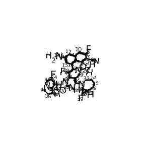 [2H]C([2H])Oc1c(C#N)c(F)cc2cc(N)cc(-c3ncc4c(N5CCCC[C@H]6[C@H](F)[C@H]65)nc(OC([2H])([2H])[C@@]56CCCN5C[C@H](F)C6)nc4c3F)c12